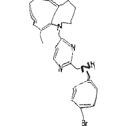 Cc1cccc2c1N(c1ccnc(Nc3ccc(Br)cc3)n1)CCC2